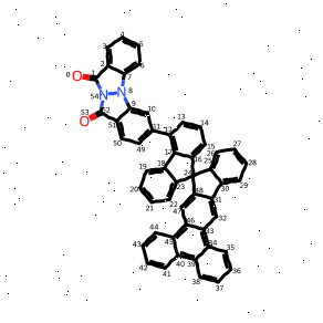 O=c1c2ccccc2n2c3cc(-c4cccc5c4-c4ccccc4C54c5ccccc5-c5cc6c7ccccc7c7ccccc7c6cc54)ccc3c(=O)n12